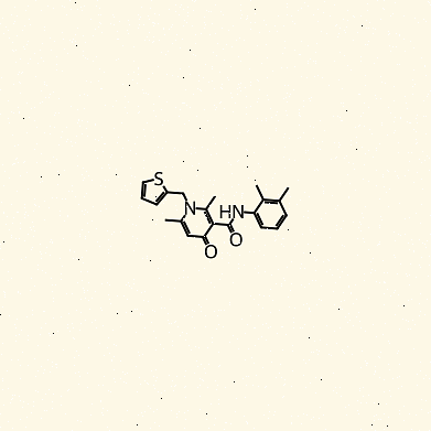 Cc1cccc(NC(=O)c2c(C)n(Cc3cccs3)c(C)cc2=O)c1C